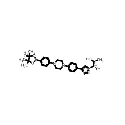 CC[C@@H]([C@H](C)O)n1cc(-c2ccc(N3CCN(c4ccc(B5OC(C)(C)C(C)(C)O5)cc4)CC3)cc2)nn1